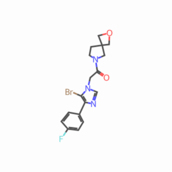 O=C(Cn1cnc(-c2ccc(F)cc2)c1Br)N1CCC2(COC2)C1